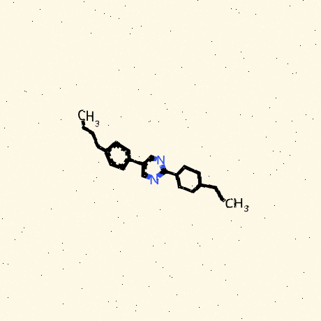 CCCCc1ccc(-c2cnc(C3CCC(CCC)CC3)nc2)cc1